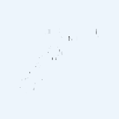 O=C(NCC1CCOC1)c1noc(COCC2=CCCC=C2F)c1CO